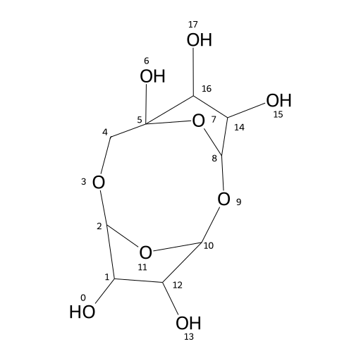 OC1C2OCC3(O)OC(OC(O2)C1O)C(O)C3O